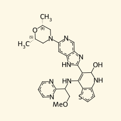 COCC(NC1=C(c2nc3cnc(N4C[C@@H](C)O[C@@H](C)C4)cc3[nH]2)C(O)Nc2ccsc21)c1ncccn1